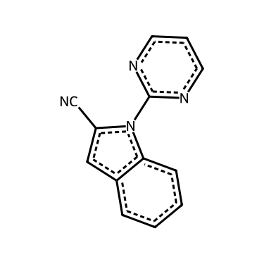 N#Cc1cc2ccccc2n1-c1ncccn1